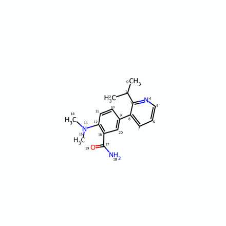 CC(C)c1ncccc1-c1ccc(N(C)C)c(C(N)=O)c1